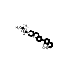 COc1c(-c2ccc3c(c2)CCC2(CCN(C(=O)OC(C)(C)C)CC2)O3)ccc2cccnc12